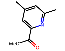 COC(=O)c1cc(C)cc(C)n1